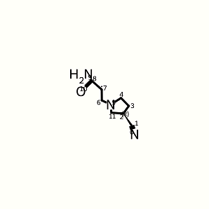 N#C[C@@H]1CCN(C[CH]C(N)=O)C1